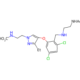 CCc1nn(CCNC(=O)O)cc1Oc1cc(Cl)cc(Cl)c1CNCCNC(C)=O